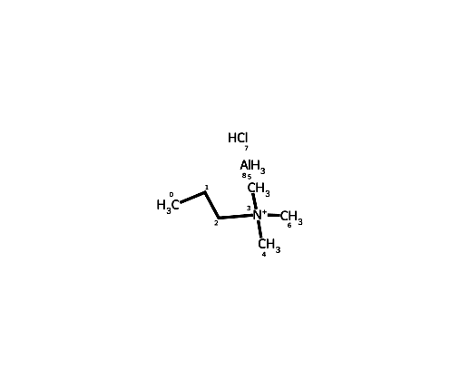 CCC[N+](C)(C)C.Cl.[AlH3]